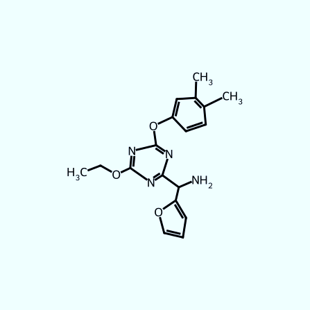 CCOc1nc(Oc2ccc(C)c(C)c2)nc(C(N)c2ccco2)n1